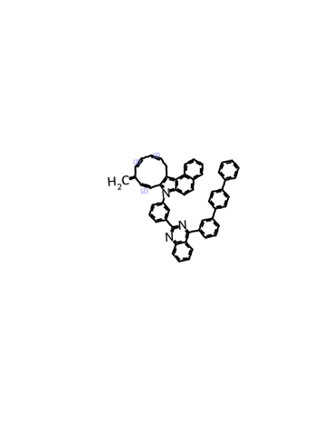 C=C1/C=C\C=C/Cc2c(n(-c3cccc(-c4nc(-c5cccc(-c6ccc(-c7ccccc7)cc6)c5)c5ccccc5n4)c3)c3ccc4ccccc4c23)/C=C\1